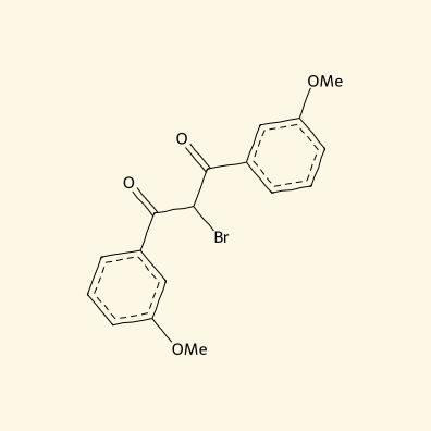 COc1cccc(C(=O)C(Br)C(=O)c2cccc(OC)c2)c1